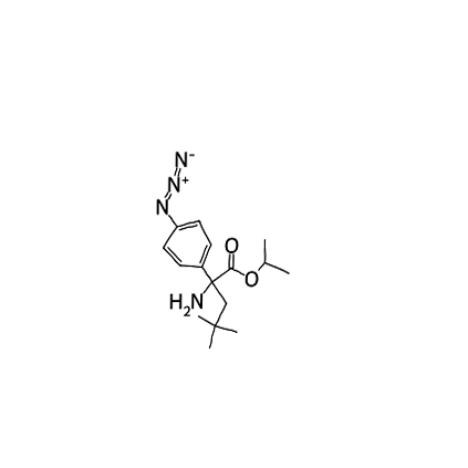 CC(C)OC(=O)C(N)(CC(C)(C)C)c1ccc(N=[N+]=[N-])cc1